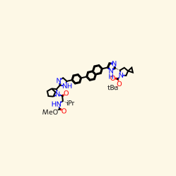 COC(=O)N[C@H](C(=O)N1C2CCC(C2)C1C1=NCC(c2ccc(-c3ccc4cc(-c5cnc([C@@H]6CC7(CC7)CN6C(=O)OC(C)(C)C)[nH]5)ccc4c3)cc2)N1)C(C)C